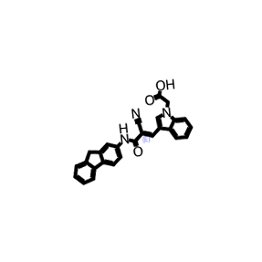 N#C/C(=C\c1cn(CC(=O)O)c2ccccc12)C(=O)Nc1ccc2c(c1)Cc1ccccc1-2